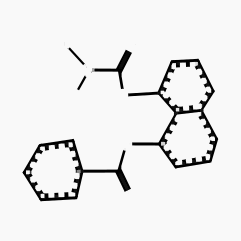 CCN(CC)C(=O)Sc1cccc2cccc(OC(=O)c3ccccc3)c12